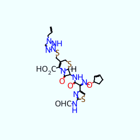 C=CCN1C=NN(SCC2=C(C(=O)O)N3C(=O)C(NC(=O)C(=NOC4C=CCC4)c4csc(NC=O)n4)[C@@H]3SC2)N1